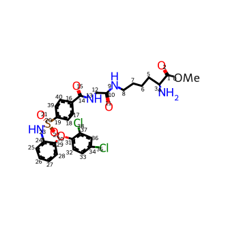 COC(=O)[C@@H](N)CCCCNC(=O)CNC(=O)c1ccc(S(=O)(=O)Nc2ccccc2Oc2ccc(Cl)cc2Cl)cc1